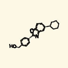 OCc1ccc(-c2nc3cc(C4CCCCC4)ccc3o2)cc1